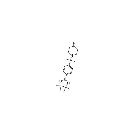 CC(C)(c1ccc(B2OC(C)(C)C(C)(C)O2)cc1)N1CCNCC1